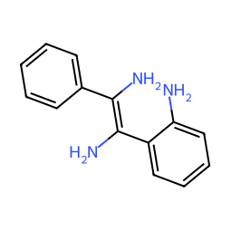 NC(=C(N)c1ccccc1N)c1ccccc1